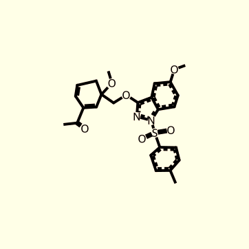 COc1ccc2c(c1)c(OCC1(OC)C=C(C(C)=O)C=CC1)nn2S(=O)(=O)c1ccc(C)cc1